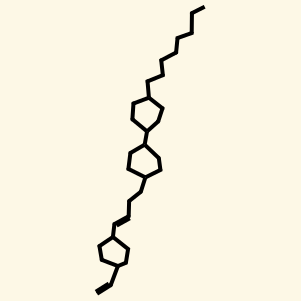 C=CC1CCC(C=CCCC2CCC(C3CCC(CCCCCCCC)CC3)CC2)CC1